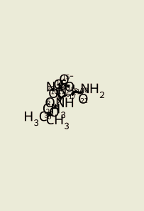 CC(C)(C)OC(=O)N[C@H]1C(=O)N(S(=O)(=O)[O-])[C@@H]1/C=C/C(N)=O.[Na+]